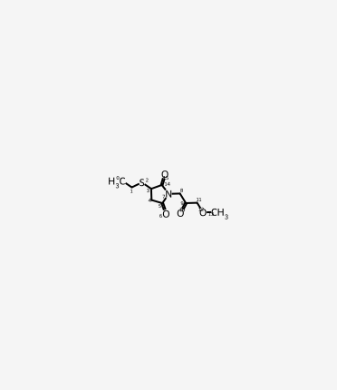 CCSC1CC(=O)N(CC(=O)COC)C1=O